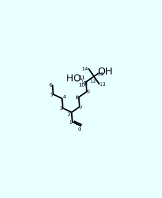 C=CC(CCCC)CCC[C@H](O)C(C)(C)O